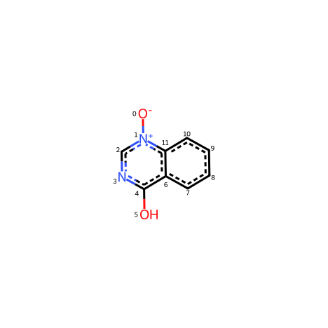 [O-][n+]1cnc(O)c2ccccc21